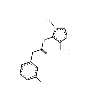 CCOC(=O)c1ncn(CC)c1NC(=O)Cc1cccc(C(F)(F)F)c1